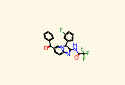 O=C(c1ccccc1)c1ccc2nc(NC(=O)C(F)(F)F)c(-c3cccc(F)c3)n2c1